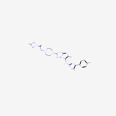 CCc1nc2n(c1N(C)c1nc(-c3ccc(F)cc3)c(C#N)s1)NC(N1CCN(CC(=O)N3CC(O)C3)CC1)S2